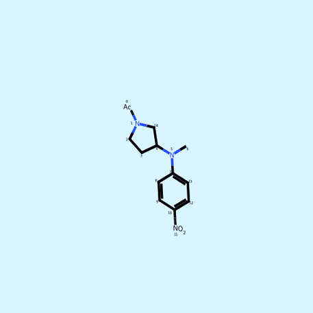 CC(=O)N1CCC(N(C)c2ccc([N+](=O)[O-])cc2)C1